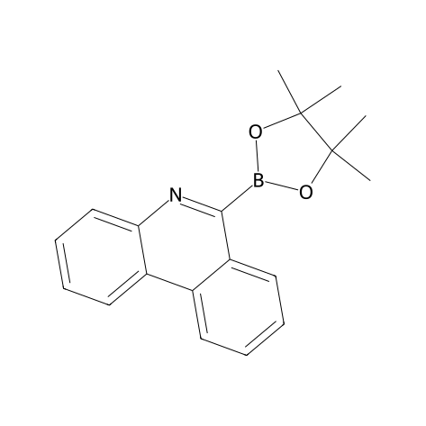 CC1(C)OB(c2nc3ccccc3c3ccccc23)OC1(C)C